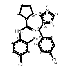 O=C(Nc1ccc(Cl)cc1F)N1CCC[C@@H]1c1ncnn1Cc1ccc(Cl)cc1